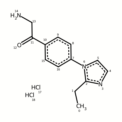 CCc1nccn1-c1ccc(C(=O)CN)cc1.Cl.Cl